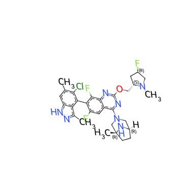 Cc1cc2[nH]nc(C)c2c(-c2c(F)cc3c(N4C[C@H]5CC[C@](C)(C4)N5)nc(OC[C@@H]4C[C@@H](F)CN4C)nc3c2F)c1Cl